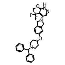 O=c1[nH]ncc(N2Cc3ccc(OC4CCN(C(c5ccccc5)c5ccccc5)CC4)cc3C2)c1C(F)(F)F